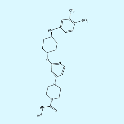 CCCNC(=S)N1CCN(c2ccnc(O[C@H]3CC[C@H](Nc4ccc([N+](=O)[O-])c(C(F)(F)F)c4)CC3)c2)CC1